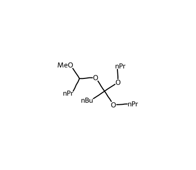 CCCCC(OCCC)(OCCC)OC(CCC)OC